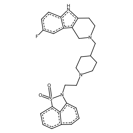 O=S1(=O)c2cccc3cccc(c23)N1CCN1CCC(CN2CCc3[nH]c4ccc(F)cc4c3C2)CC1